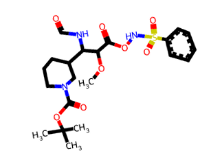 COC(C(=O)ONS(=O)(=O)c1ccccc1)C(NC=O)C1CCCN(C(=O)OC(C)(C)C)C1